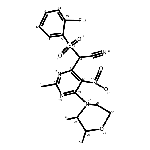 Cc1nc(C(C#N)S(=O)(=O)c2ccccc2F)c([N+](=O)[O-])c(N2CCOC(C)C2C)n1